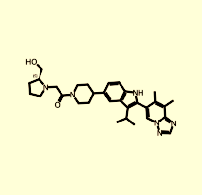 Cc1c(-c2[nH]c3ccc(C4CCN(C(=O)CN5CCC[C@H]5CO)CC4)cc3c2C(C)C)cn2ncnc2c1C